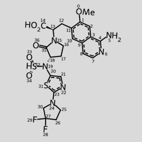 COc1cc2c(N)nccc2cc1C[C@H](C(=O)O)N1CC[C@H](N(c2cnc(N3CCC(F)(F)C3)s2)[SH](=O)=O)C1=O